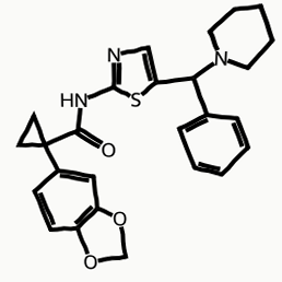 O=C(Nc1ncc(C(c2ccccc2)N2CCCCC2)s1)C1(c2ccc3c(c2)OCO3)CC1